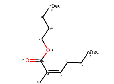 CCCCCCCCCCCCC=C(C)C(=O)OCCCCCCCCCCCCC